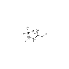 CCC(=O)N[C@H](C)C(F)(F)F